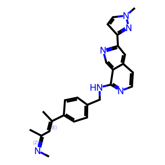 C/N=C(C)\C=C(/C)c1ccc(CNc2nccc3cc(-c4ccn(C)n4)ncc23)cc1